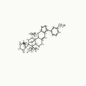 C[C@]12Cc3cnn(-c4cccc(C(=O)O)c4)c3C=C1CC[C@@H]1[C@@H]2[C@@H](O)C[C@@]2(C)[C@H]1CC[C@@]21OCOC12COCO2